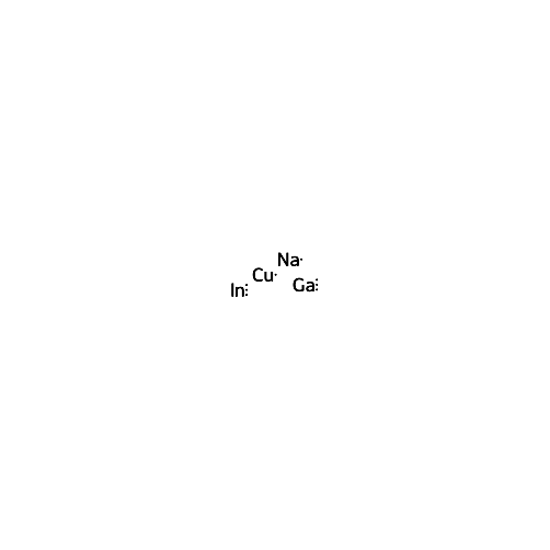 [Cu].[Ga].[In].[Na]